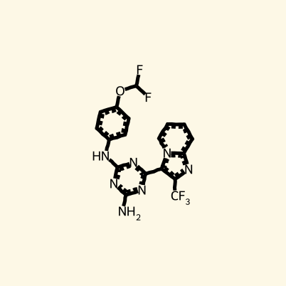 Nc1nc(Nc2ccc(OC(F)F)cc2)nc(-c2c(C(F)(F)F)nc3ccccn23)n1